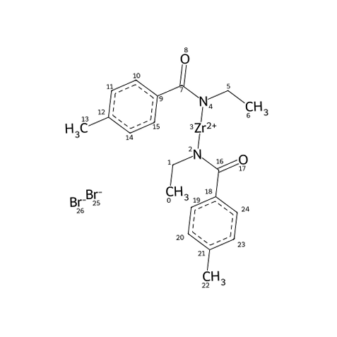 CC[N]([Zr+2][N](CC)C(=O)c1ccc(C)cc1)C(=O)c1ccc(C)cc1.[Br-].[Br-]